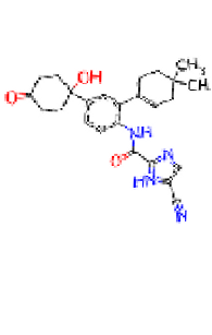 CC1(C)CC=C(c2cc(C3(O)CCC(=O)CC3)ccc2NC(=O)c2ncc(C#N)[nH]2)CC1